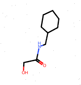 O=C(CO)NCC1CCCCC1